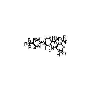 N=C(C1=C(N)NC(=O)CC1C(F)(F)F)C1CCN(c2cnc(C(F)(F)F)cn2)CC1